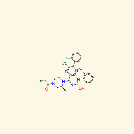 C=CC(=O)N1CCN(C2=NC(O)N(c3ccccc3C(C)C)c3nc(-c4ccccc4F)c(CC)nc32)[C@@H](C)C1